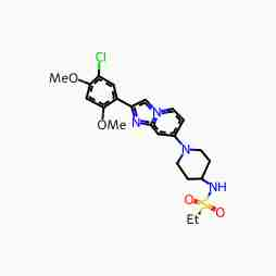 CCS(=O)(=O)NC1CCN(c2ccn3cc(-c4cc(Cl)c(OC)cc4OC)nc3c2)CC1